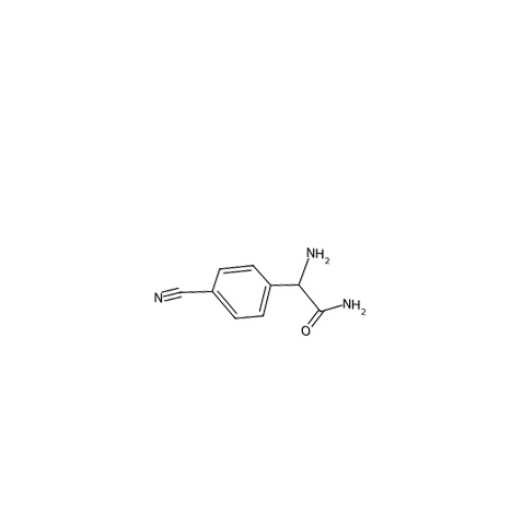 N#Cc1ccc(C(N)C(N)=O)cc1